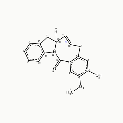 COc1cc2c(cc1O)C/C=C/[C@@H]1Cc3ccccc3N1C2=O